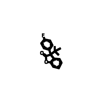 CC(C)(C)C1(c2ccc(F)cc2)C(=O)Oc2ccccc21